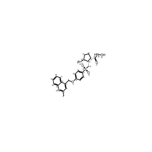 Cc1cc(COc2ccc(S(=O)(=O)C[C@H]3[C@@H](C(=O)NO)CCN3C(C)C)cc2)c2ccccc2n1